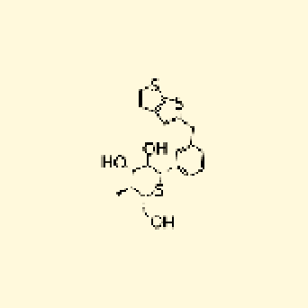 C[C@H]1[C@H](O)[C@@H](O)[C@H](c2cccc(Cc3cc4ccsc4s3)c2)S[C@@H]1CO